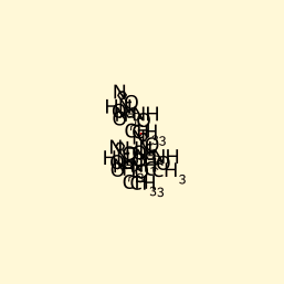 CC(C)C1C(=O)Nc2cc(NC(=O)c3cccnc3)c([N+](=O)[O-])cc21.CCC(CC)C1C(=O)Nc2cc(NC(=O)c3cccnc3)c([N+](=O)[O-])cc21.CCC(CC)C1C(=O)Nc2cc(NC(=O)c3ccncc3)c([N+](=O)[O-])cc21